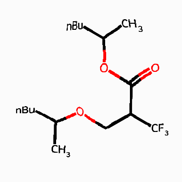 CCCCC(C)OCC(C(=O)OC(C)CCCC)C(F)(F)F